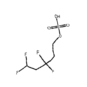 O=S(=O)(O)OCCC(F)(F)CC(F)F